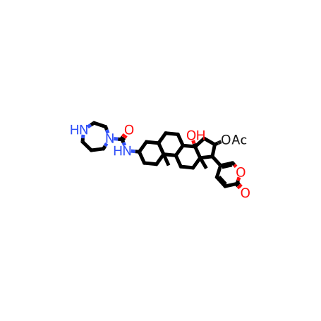 CC(=O)OC1CC2(O)C3CCC4CC(NC(=O)N5CCCNCC5)CCC4(C)C3CCC2(C)C1c1ccc(=O)oc1